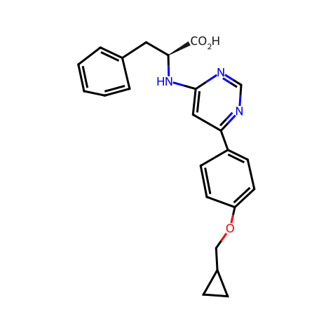 O=C(O)[C@H](Cc1ccccc1)Nc1cc(-c2ccc(OCC3CC3)cc2)ncn1